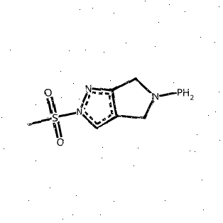 CS(=O)(=O)n1cc2c(n1)CN(P)C2